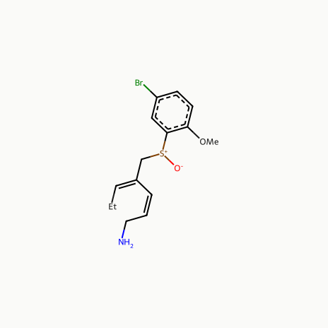 CC/C=C(\C=C/CN)C[S+]([O-])c1cc(Br)ccc1OC